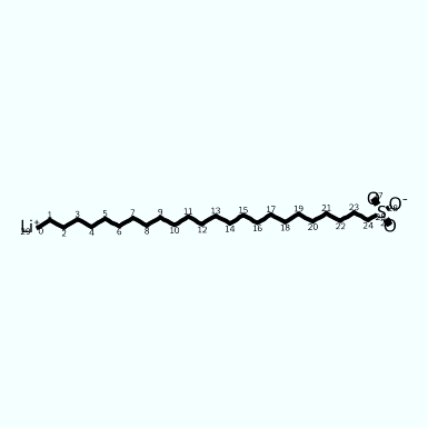 CCCCCCCCCCCCCCCCCCCCCCCCCS(=O)(=O)[O-].[Li+]